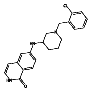 O=c1[nH]ccc2cc(NC3CCCN(Cc4ccccc4Cl)C3)ccc12